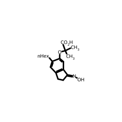 CCCCCCc1cc2c(cc1OC(C)(C)C(=O)O)/C(=N/O)CC2